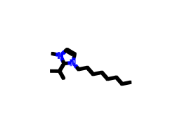 CCCCCCCCN1C=CN(C)C1C(C)C